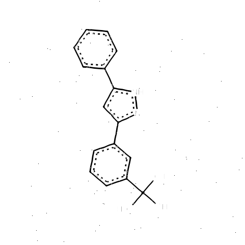 CC(C)(C)c1cccc(-c2cc(-c3ccccc3)[nH]n2)c1